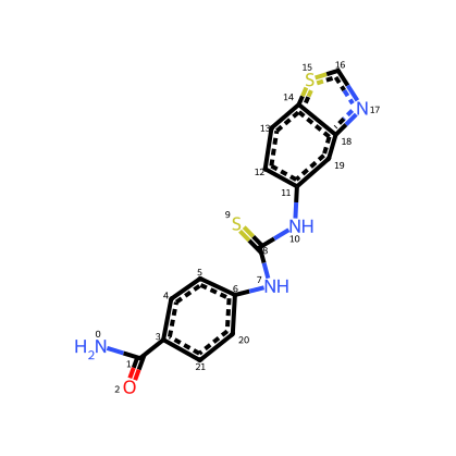 NC(=O)c1ccc(NC(=S)Nc2ccc3scnc3c2)cc1